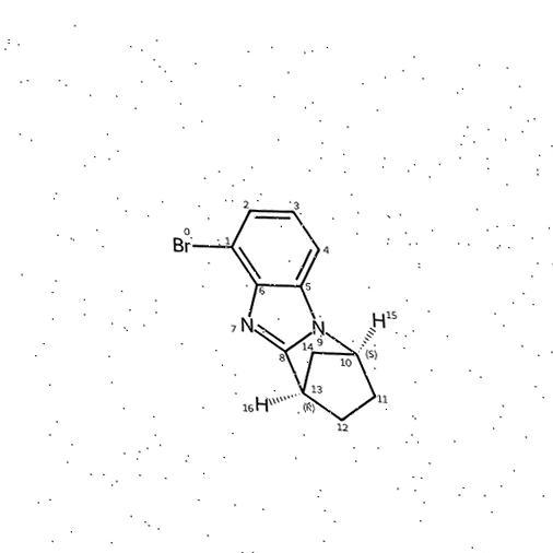 Brc1cccc2c1nc1n2[C@H]2CC[C@@H]1C2